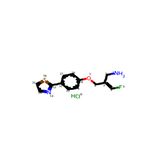 Cl.NC/C(=C\F)COc1ccc(-c2nccs2)cc1